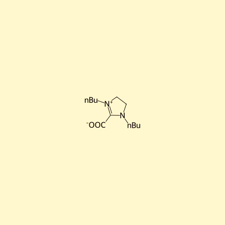 CCCCN1CC[N+](CCCC)=C1C(=O)[O-]